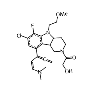 C=C=C(/C=C\N(C)C)c1cc(Cl)c(F)c2c1C1CN(C(=O)CO)CCC1N2CCOC